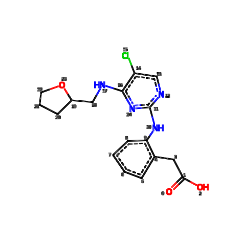 O=C(O)Cc1ccccc1Nc1ncc(Cl)c(NCC2CCCO2)n1